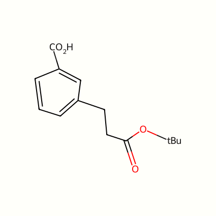 CC(C)(C)OC(=O)CCc1cccc(C(=O)O)c1